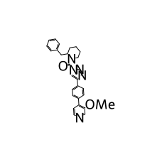 COc1cnccc1-c1ccc(-c2cn(C(=O)N3CCCCC3Cc3ccccc3)nn2)cc1